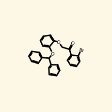 O=C(COc1ccccc1OC(c1ccccc1)c1ccccc1)c1ccccc1Br